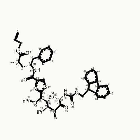 C=CCOC(=O)[C@@H](C)C[C@H](Cc1ccccc1)NC(=O)c1csc([C@@H](C[C@H](C(C)C)N(C)C(=O)[C@@H](NC(=O)OCC2c3ccccc3-c3ccccc32)[C@@H](C)CC)OCCC)n1